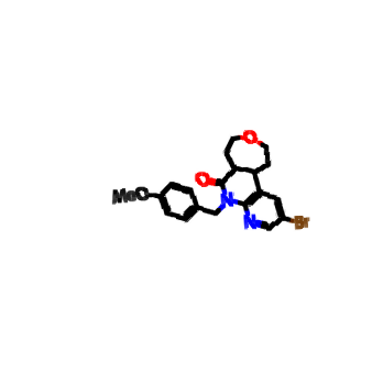 COc1ccc(CN2C(=O)C3CCOCCC3c3cc(Br)cnc32)cc1